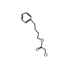 O=C(CCl)OCCCCc1ccccc1